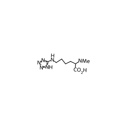 CNC(CCCCNc1nnn[nH]1)C(=O)O